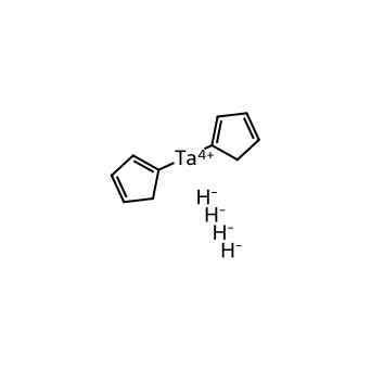 C1=CC[C]([Ta+4][C]2=CC=CC2)=C1.[H-].[H-].[H-].[H-]